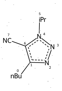 CCCCc1nnn(C(C)C)c1C#N